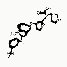 Cn1c(Nc2cccc(C(F)(F)F)c2)nc2cc(Oc3ccnc(N(C(=O)O)C4CCNCC4)c3)ccc21